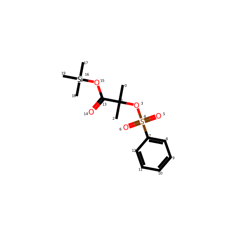 CC(C)(OS(=O)(=O)c1ccccc1)C(=O)O[Si](C)(C)C